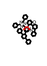 c1ccc(-c2ccc(-c3ccccc3)c(-c3cnc(-c4cccc5oc6ccc7c8ccccc8n(-c8ccccc8)c7c6c45)c(-c4nc(-c5ccccc5)nc(-c5ccccc5)n4)c3)c2)cc1